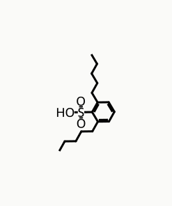 CCCCCc1cccc(CCCCC)c1S(=O)(=O)O